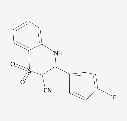 N#CC1C(c2ccc(F)cc2)Nc2ccccc2S1(=O)=O